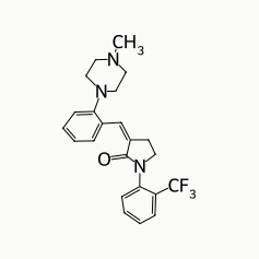 CN1CCN(c2ccccc2C=C2CCN(c3ccccc3C(F)(F)F)C2=O)CC1